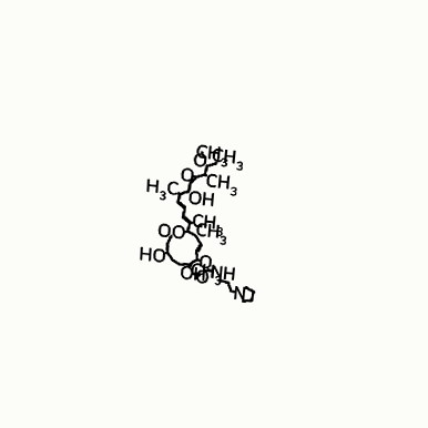 CCC(OC)C(C)C1OC1C(O)C(C)/C=C/C=C(\C)C1OC(=O)CC(O)CCC(C)(O)C(OC(=O)NCCCN2CCCC2)/C=C/C1C